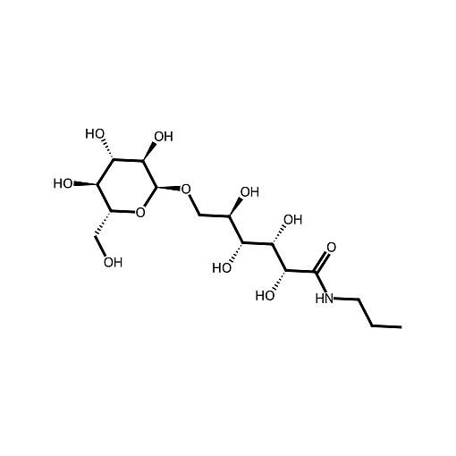 CCCNC(=O)[C@H](O)[C@@H](O)[C@H](O)[C@H](O)CO[C@H]1O[C@H](CO)[C@@H](O)[C@H](O)[C@H]1O